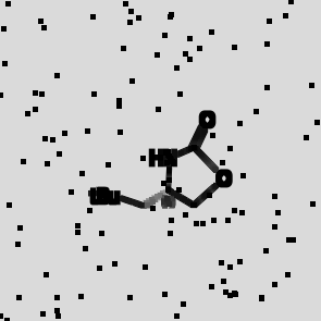 CC(C)(C)C[C@H]1COC(=O)N1